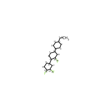 CCC1CCC(C2CCC(C3CCC(F)C(F)C3)C(F)C2)CC1